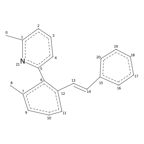 Cc1cccc(-c2c(C)cccc2/C=C/c2ccccc2)n1